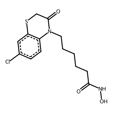 O=C(CCCCCN1C(=O)CSc2cc(Cl)ccc21)NO